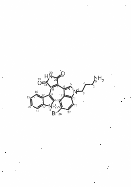 NCCCn1cc(C2=C(c3c[nH]c4ccccc34)C(=O)NC2=O)c2cc(Br)ccc21